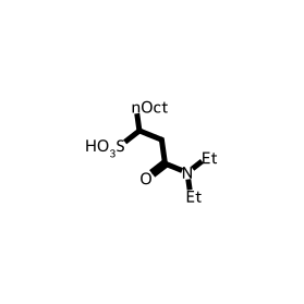 CCCCCCCCC(CC(=O)N(CC)CC)S(=O)(=O)O